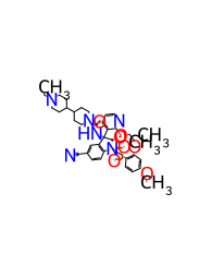 CCOc1cc(OC)ccc1S(=O)(=O)N1C(=O)C(NC(=O)N2CCC(C3CCN(CC)CC3)CC2)(c2cccnc2OCC)c2cc(C#N)ccc21